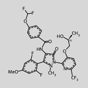 COc1cc(F)c(-c2c(NC(=O)c3ccc(OC(F)F)cc3)c(=O)n(-c3nc(C(F)(F)F)ccc3OC[C@H](C)O)n2C)c(F)c1